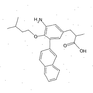 CC(C)CCOc1c(N)cc(CC(C)C(=O)O)cc1-c1ccc2ccccc2c1